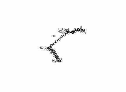 Cl.N=C(N)Nc1ccc(C(=O)Oc2ccc(CNS(=O)(=O)N(CCOCCOCCOCCOCCOCCOCCN(C(CC(=O)O)C(=O)O)S(=O)(=O)NCc3ccc(OC(=O)c4ccc(NC(=N)N)cc4)cc3)C(CC(=O)O)C(=O)O)cc2)cc1